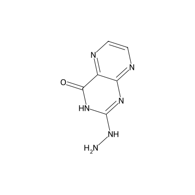 NNc1nc2nccnc2c(=O)[nH]1